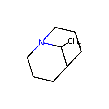 CC1C2CCCN1CCC2